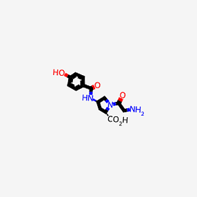 NCC(=O)N1C[C@H](NC(=O)c2ccc(O)cc2)C[C@H]1C(=O)O